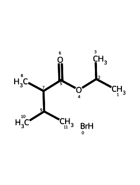 Br.CC(C)OC(=O)C(C)C(C)C